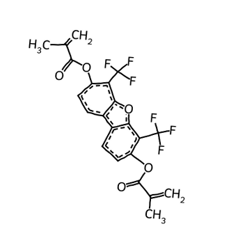 C=C(C)C(=O)Oc1ccc2c(oc3c(C(F)(F)F)c(OC(=O)C(=C)C)ccc32)c1C(F)(F)F